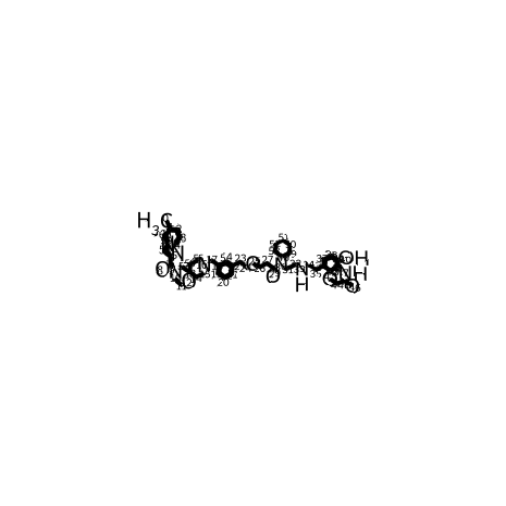 Cc1ccc2nc(C(=O)N3CCOC4(CCN(Cc5cccc(CCOCCC(=O)N(CCNCCc6ccc(O)c7c6OCC(=O)N7)C6CCCCC6)c5)CC4)C3)cn2c1